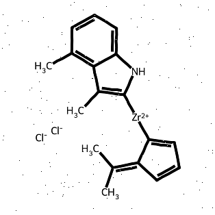 CC(C)=C1C=CC=[C]1[Zr+2][c]1[nH]c2cccc(C)c2c1C.[Cl-].[Cl-]